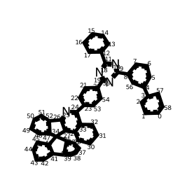 c1ccc(-c2cccc(-c3nc(-c4ccccc4)nc(-c4ccc(-c5nc6c(c7ccccc57)C5(c7ccccc7-c7ccccc75)c5ccccc5-6)cc4)n3)c2)cc1